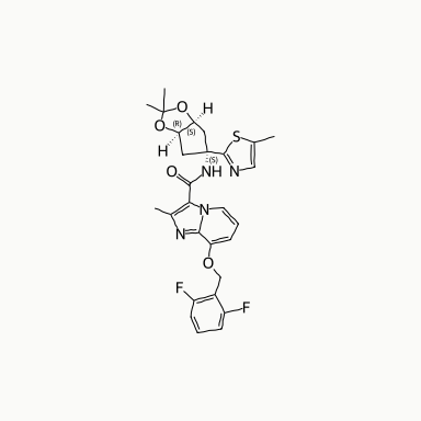 Cc1cnc([C@]2(NC(=O)c3c(C)nc4c(OCc5c(F)cccc5F)cccn34)C[C@@H]3OC(C)(C)O[C@@H]3C2)s1